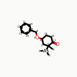 C[As](C)C1(C)CC(OCc2ccccc2)CCC1=O